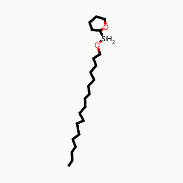 CCCCCCCCCCCCCCCCCCO[SiH2]C1CCCCO1